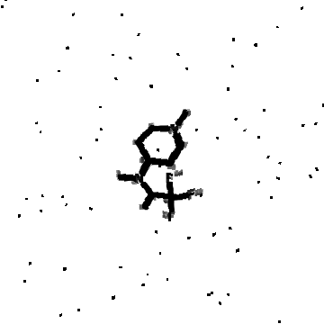 CC(N(C)C1CCN(C)CC1)C(F)(F)F